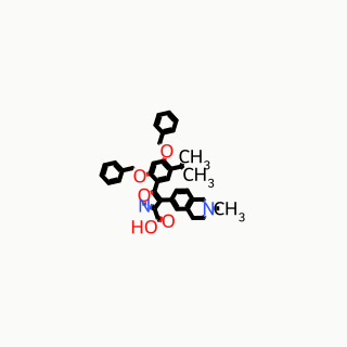 CC(C)c1cc(-c2onc(C(=O)O)c2-c2ccc3c(c2)CCN(C)C3)c(OCc2ccccc2)cc1OCc1ccccc1